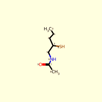 CCCC(S)CNC(C)=O